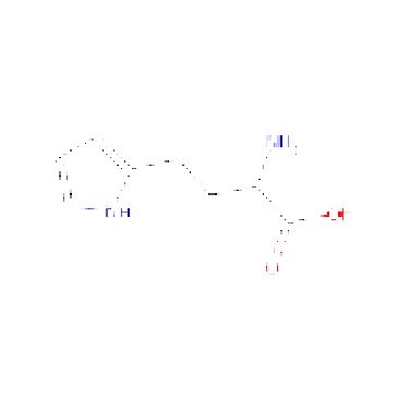 NC(CCc1ccc[nH]1)C(=O)O